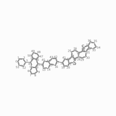 c1ccc(-c2c3ccccc3c(-c3ccc4cc(-c5ccc6sc7c(ccc8c7ccc7c9ccccc9sc78)c6c5)ccc4c3)c3ccccc23)cc1